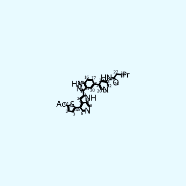 CC(=O)c1ccc(-c2cncc3[nH]c(-c4n[nH]c5ccc(-c6cncc(NC(=O)CC(C)C)c6)cc45)cc23)s1